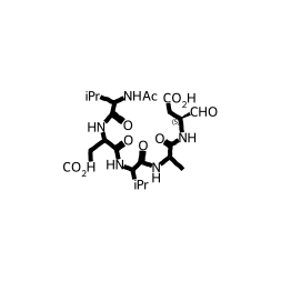 CC(=O)NC(C(=O)NC(CC(=O)O)C(=O)NC(C(=O)NC(C)C(=O)N[C@H](C=O)CC(=O)O)C(C)C)C(C)C